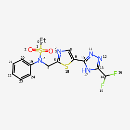 CCS(=O)(=O)N(Cc1ncc(-c2nnc(C(F)F)[nH]2)s1)c1ccccc1